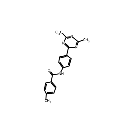 Cc1ccc(C(=O)Nc2ccc(-c3nc(C)nc(C(Cl)(Cl)Cl)n3)cc2)cc1